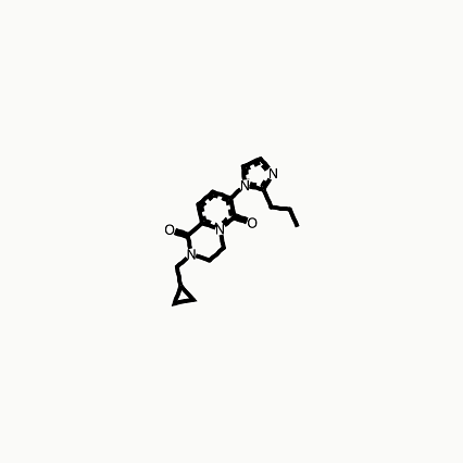 CCCc1nccn1-c1ccc2n(c1=O)CCN(CC1CC1)C2=O